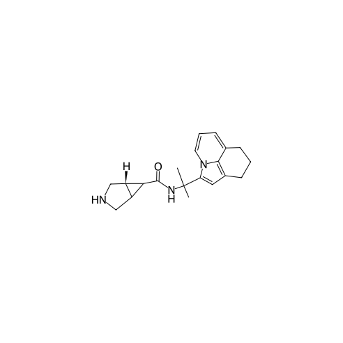 CC(C)(NC(=O)C1C2CNC[C@@H]21)c1cc2c3c(cccn13)CCC2